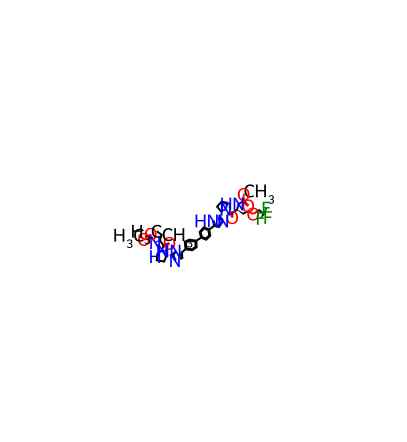 COC(=O)N[C@@H](CCOCC(F)(F)F)C(=O)N1CCC[C@H]1c1ncc(-c2ccc(-c3ccc(-c4cnc([C@@H]5CCCN5C(=O)[C@@H](NC(=O)OC)C(C)C)[nH]4)cc3)cc2)[nH]1